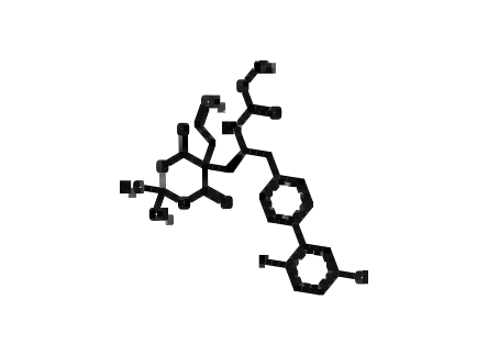 C=CCC1(C[C@H](Cc2ccc(-c3cc(Cl)ccc3F)cc2)NC(=O)OC(C)(C)C)C(=O)OC(C)(C)OC1=O